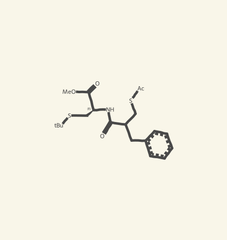 COC(=O)[C@H](CSC(C)(C)C)NC(=O)C(CSC(C)=O)Cc1ccccc1